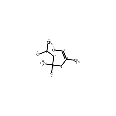 FC(F)(F)C(=CCl)CC(Cl)(CC(Cl)C(F)(F)F)C(F)(F)F